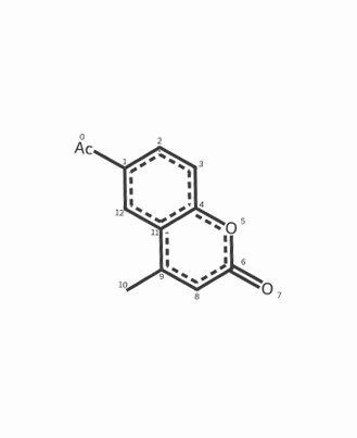 CC(=O)c1[c]cc2oc(=O)cc(C)c2c1